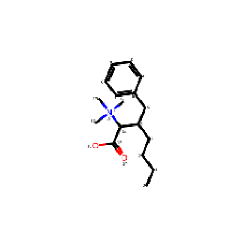 CCCCC(Cc1ccccc1)C(C(=O)[O-])[N+](C)(C)C